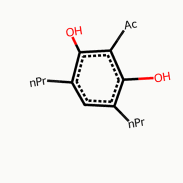 CCCc1cc(CCC)c(O)c(C(C)=O)c1O